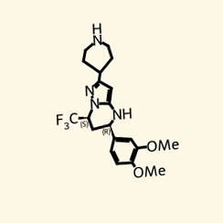 COc1ccc([C@H]2C[C@@H](C(F)(F)F)n3nc(C4CCNCC4)cc3N2)cc1OC